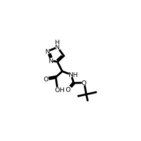 CC(C)(C)OC(=O)NC(C(=O)O)c1c[nH]nn1